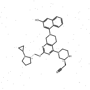 N#CC[C@H]1CN(c2nc(OC[C@@H]3CCCN3C3CC3)nc3c2CCN(c2cc(O)cc4ccccc24)C3)CCN1